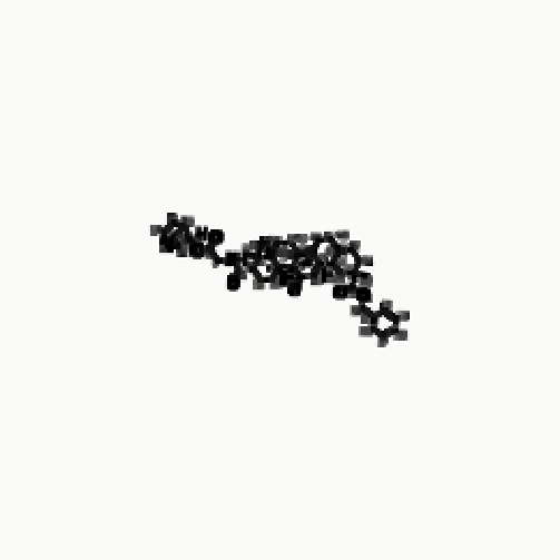 CC1(C)[C@@H](C(=O)NCC(=O)O[C@H]2C3=NCCC2C3)CC[C@]2(C)[C@H]3C(=O)C=C4[C@@H]5C[C@@](C)(C(=O)OCc6ccccc6)CC[C@]5(C)CC[C@@]4(C)[C@]3(C)CC[C@@H]12